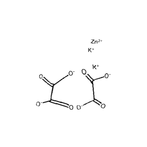 O=C([O-])C(=O)[O-].O=C([O-])C(=O)[O-].[K+].[K+].[Zn+2]